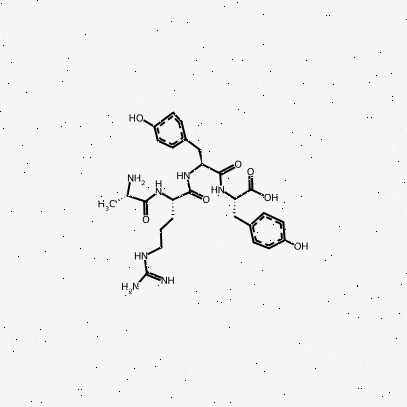 C[C@H](N)C(=O)N[C@@H](CCCNC(=N)N)C(=O)N[C@@H](Cc1ccc(O)cc1)C(=O)N[C@@H](Cc1ccc(O)cc1)C(=O)O